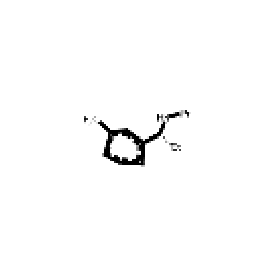 CC[C@@H](NC(C)C)c1cccc(C(F)(F)F)c1